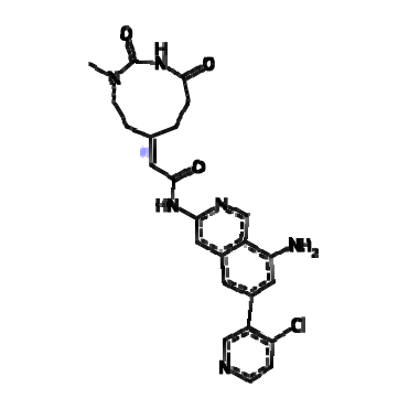 CN1CC/C(=C/C(=O)Nc2cc3cc(-c4cnccc4Cl)cc(N)c3cn2)CCC(=O)NC1=O